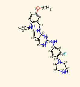 CNc1ccc(OC)cc1Cn1ccc2cnc(Nc3ccc(N4CCNCC4)c(F)c3)nc21